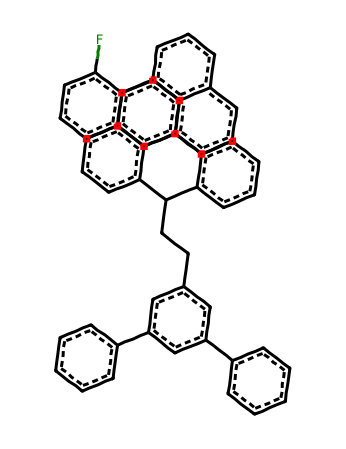 Fc1ccccc1-c1cccc2cccc(-c3ccccc3C(CCc3cc(-c4ccccc4)cc(-c4ccccc4)c3)c3ccccc3-c3ccccc3)c12